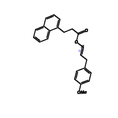 COc1ccc(C/C=N/OC(=O)CCc2cccc3ccccc23)cc1